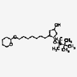 CC(C)(C)[Si](C)(C)OC1CC(O)C=C1CCCCCCCOC1CCCCO1